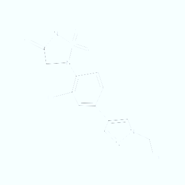 CC(C)Cn1cc(-c2ccc(N3CC(=O)NS3(=O)=O)c(O)c2)cn1